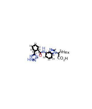 CCCCCCC(C(=O)O)n1cnc2c(NC(=O)c3ccccc3-c3nn[nH]n3)cccc21